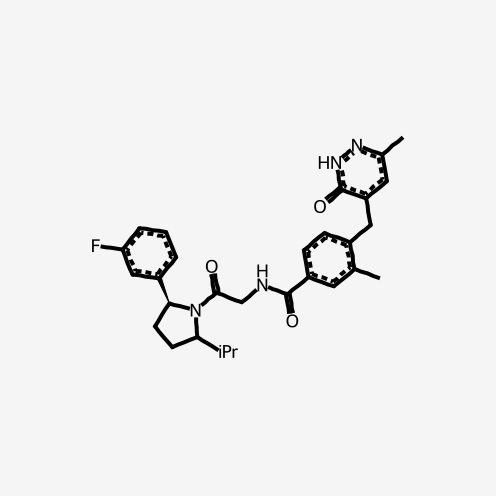 Cc1cc(Cc2ccc(C(=O)NCC(=O)N3C(C(C)C)CC[C@H]3c3cccc(F)c3)cc2C)c(=O)[nH]n1